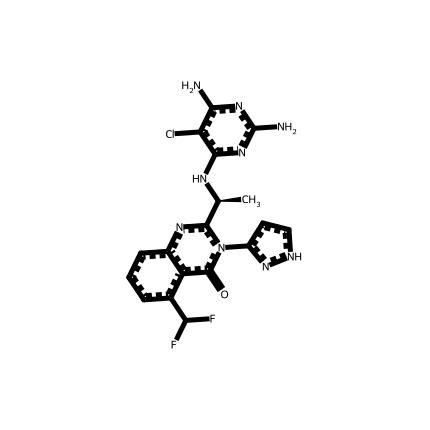 C[C@H](Nc1nc(N)nc(N)c1Cl)c1nc2cccc(C(F)F)c2c(=O)n1-c1cc[nH]n1